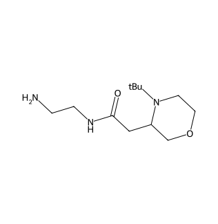 CC(C)(C)N1CCOCC1CC(=O)NCCN